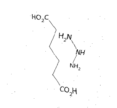 NNN.O=C(O)CCCCC(=O)O